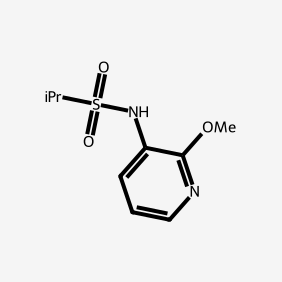 COc1ncccc1NS(=O)(=O)C(C)C